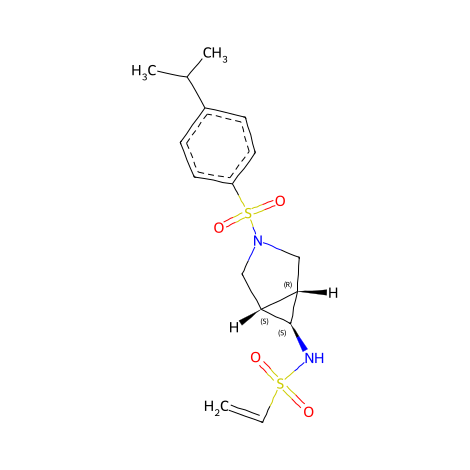 C=CS(=O)(=O)N[C@H]1[C@@H]2CN(S(=O)(=O)c3ccc(C(C)C)cc3)C[C@@H]21